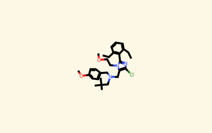 CCc1cccc(CC)c1-c1nc(Cl)c(CN(Cc2ccc(OC)cc2)CC(C)(C)C)n1CCOC